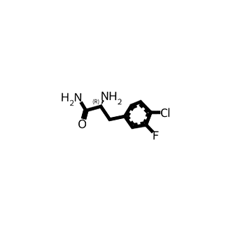 NC(=O)[C@H](N)Cc1ccc(Cl)c(F)c1